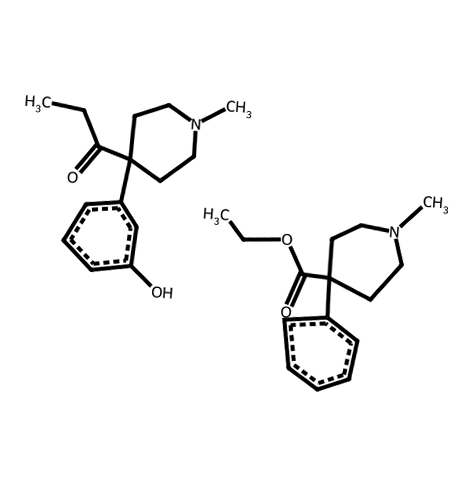 CCC(=O)C1(c2cccc(O)c2)CCN(C)CC1.CCOC(=O)C1(c2ccccc2)CCN(C)CC1